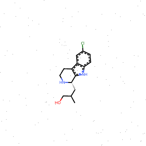 CC(CO)C[C@@H]1NCCc2c1[nH]c1ccc(Cl)cc21